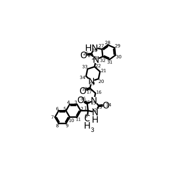 CC1(c2ccc3ccccc3c2)NC(=O)N(CC(=O)N2CCC(n3c(=O)[nH]c4ccccc43)CC2)C1=O